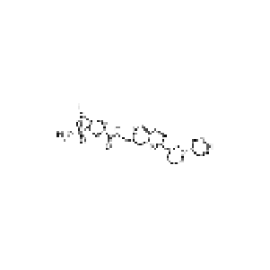 Cc1ccc(C(=O)NCc2cc3nc(N4CCC[C@@H](c5ccncc5)C4)ccc3cn2)cc1S(C)(=O)=O